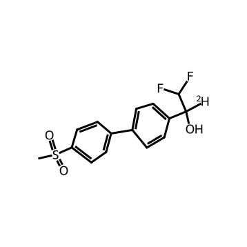 [2H]C(O)(c1ccc(-c2ccc(S(C)(=O)=O)cc2)cc1)C(F)F